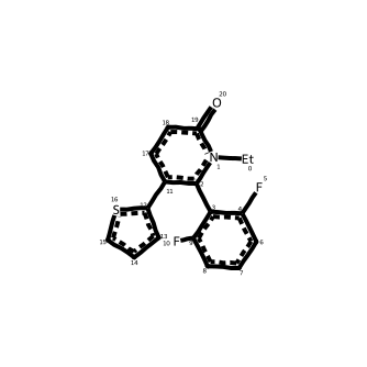 CCn1c(-c2c(F)cccc2F)c(-c2cccs2)ccc1=O